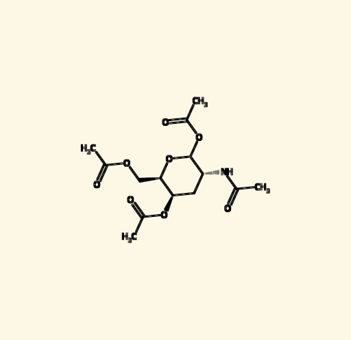 CC(=O)N[C@@H]1C[C@@H](OC(C)=O)[C@@H](COC(C)=O)OC1OC(C)=O